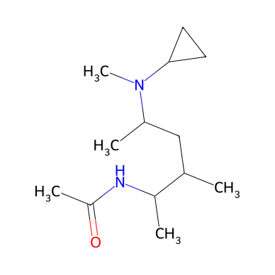 CC(=O)NC(C)C(C)CC(C)N(C)C1CC1